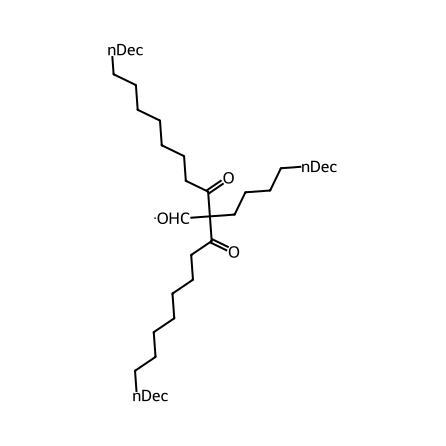 CCCCCCCCCCCCCCCCCC(=O)C([C]=O)(CCCCCCCCCCCCCC)C(=O)CCCCCCCCCCCCCCCCC